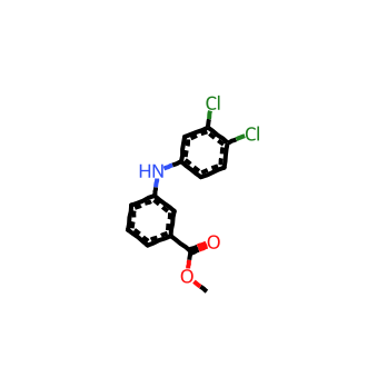 COC(=O)c1cccc(Nc2ccc(Cl)c(Cl)c2)c1